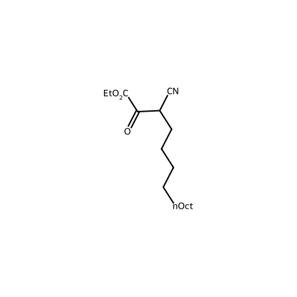 CCCCCCCCCCCCC(C#N)C(=O)C(=O)OCC